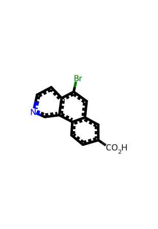 O=C(O)c1ccc2c(c1)cc(Br)c1ccncc12